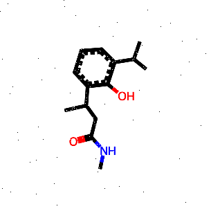 CNC(=O)CC(C)c1cccc(C(C)C)c1O